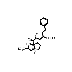 CCOC(=O)C(CCc1ccccc1)CN(CC)C(=O)[C@@]12CCC[C@@H]1CC(C(=O)O)N2